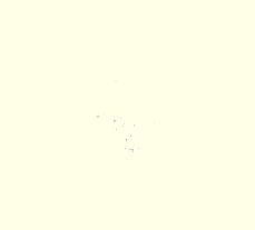 CCCc1nc2c(c(C)c(C)n3nnnc23)n1CCCCS